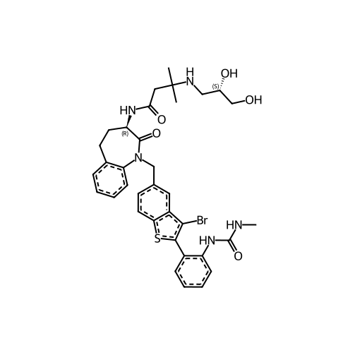 CNC(=O)Nc1ccccc1-c1sc2ccc(CN3C(=O)[C@H](NC(=O)CC(C)(C)NC[C@H](O)CO)CCc4ccccc43)cc2c1Br